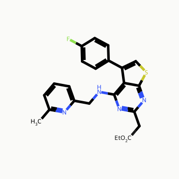 CCOC(=O)Cc1nc(NCc2cccc(C)n2)c2c(-c3ccc(F)cc3)csc2n1